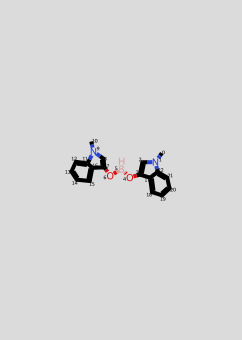 Cn1cc(OBOc2cn(C)c3ccccc23)c2ccccc21